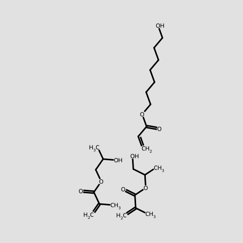 C=C(C)C(=O)OC(C)CO.C=C(C)C(=O)OCC(C)O.C=CC(=O)OCCCCCCCO